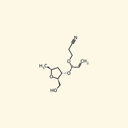 C=CP(OCCC#N)O[C@H]1C[C@H](C)O[C@@H]1CO